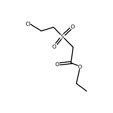 CCOC(=O)CS(=O)(=O)CCCl